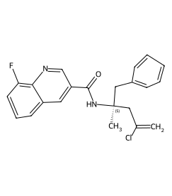 C=C(Cl)C[C@](C)(Cc1ccccc1)NC(=O)c1cnc2c(F)cccc2c1